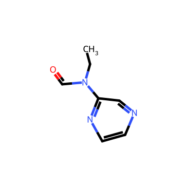 CCN(C=O)c1cnccn1